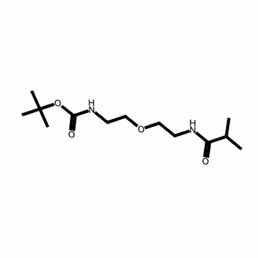 CC(C)C(=O)NCCOCCNC(=O)OC(C)(C)C